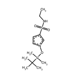 CCNS(=O)(=O)c1ccn(O[Si](C)(C)C(C)(C)C)c1